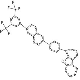 FC(F)(F)c1cc(-c2ccc3cc(-c4ccc(-c5cccc6c5oc5ccccc56)cc4)cnc3c2)cc(C(F)(F)F)c1